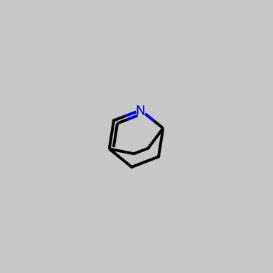 C1=NC2CCC=1CC2